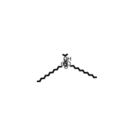 CC(C)O.CCCCCCCCCCCCOS(=O)(=O)OCCCCCCCCCCCC